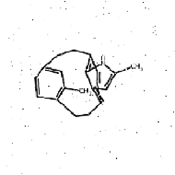 Cc1cc2c3ccc(c2[nH]1)CCc1ccc(c(C)c1)CC3